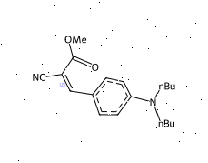 CCCCN(CCCC)c1ccc(/C=C(/C#N)C(=O)OC)cc1